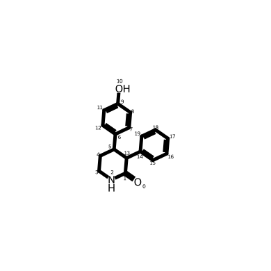 O=C1NCCC(c2ccc(O)cc2)C1c1ccccc1